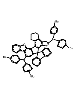 CC(C)(C)c1ccc(N(c2ccc(C(C)(C)C)cc2)c2cc3c(c4oc5ccccc5c24)-c2c4c(c5c(c2C32c3ccccc3-c3ccccc32)CCC(N(c2ccc(C(C)(C)C)cc2)c2ccc(C(C)(C)C)cc2)C5)CCCC4)cc1